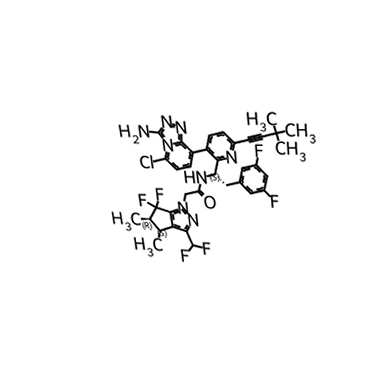 C[C@@H]1c2c(C(F)F)nn(CC(=O)N[C@@H](Cc3cc(F)cc(F)c3)c3nc(C#CC(C)(C)C)ccc3-c3ccc(Cl)n4c(N)nnc34)c2C(F)(F)[C@@H]1C